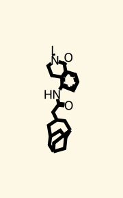 O=C(CC1CC2CC3CC(C1)C(C2)C3)Nc1cccc2c1CCN(I)C2=O